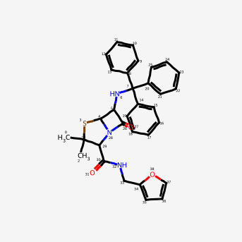 CC1(C)SC2C(NC(c3ccccc3)(c3ccccc3)c3ccccc3)C(=O)N2C1C(=O)NCc1ccco1